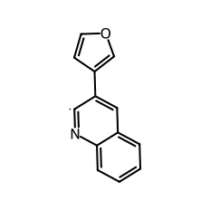 [c]1nc2ccccc2cc1-c1ccoc1